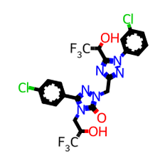 O=c1n(Cc2nc(C(O)C(F)(F)F)n(-c3cccc(Cl)c3)n2)nc(-c2ccc(Cl)cc2)n1CC(O)C(F)(F)F